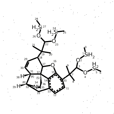 C[SiH2]OC(O[SiH2]C)C(C)(C)c1ccc2c3c1OC1C(C(C)(C)C(O[SiH2]C)O[SiH2]C)C=C[C@H]4[C@@H](C2)NCC[C@]314